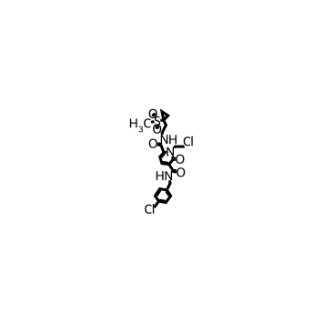 CS(=O)(=O)C1(CCNC(=O)c2ccc(C(=O)NCc3ccc(Cl)cc3)c(=O)n2CCCl)CC1